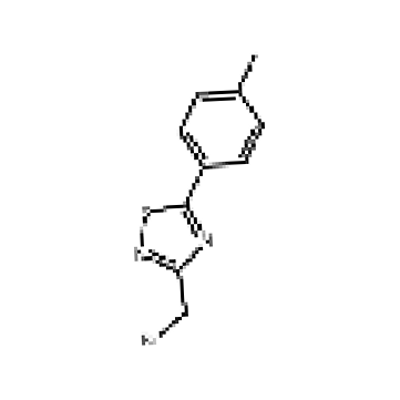 Cc1ccc(-c2nc(CBr)ns2)cc1